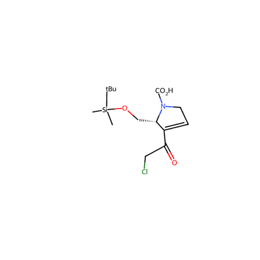 CC(C)(C)[Si](C)(C)OC[C@H]1C(C(=O)CCl)=CCN1C(=O)O